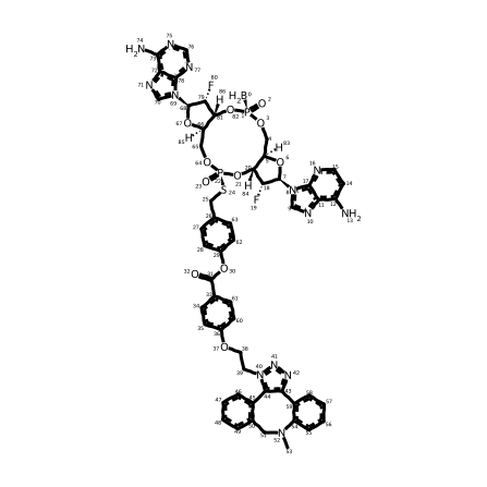 B[P@@]1(=O)OC[C@H]2O[C@@H](n3cnc4c(N)ccnc43)[C@H](F)[C@@H]2O[P@@](=O)(SCc2ccc(OC(=O)c3ccc(OCCn4nnc5c4-c4ccccc4CN(C)c4ccccc4-5)cc3)cc2)OC[C@H]2O[C@@H](n3cnc4c(N)ncnc43)[C@H](F)[C@@H]2O1